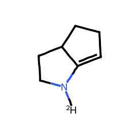 [2H]N1CCC2CCC=C21